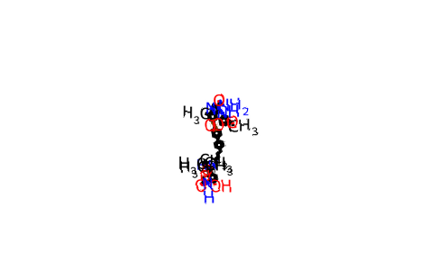 COc1cccc(Nc2c(C(N)=O)cnc3c(C)cc(S(=O)(=O)c4ccc(-c5ccc(CCCCCNC[C@H](O[Si](C)(C)C(C)(C)C)c6ccc(O)c7c6OCC(=O)N7)cc5)cc4)cc23)c1